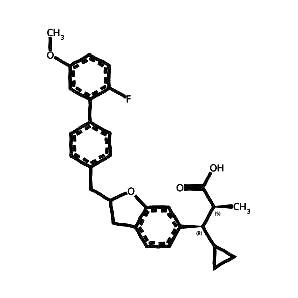 COc1ccc(F)c(-c2ccc(CC3Cc4ccc([C@H](C5CC5)[C@H](C)C(=O)O)cc4O3)cc2)c1